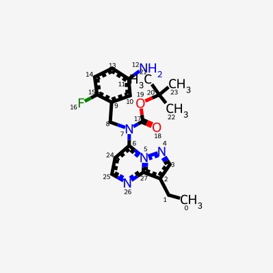 CCc1cnn2c(N(Cc3cc(N)ccc3F)C(=O)OC(C)(C)C)ccnc12